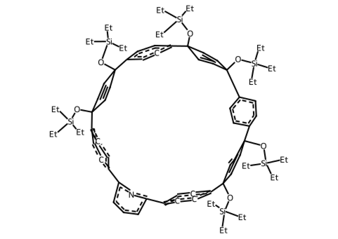 CC[Si](CC)(CC)OC12C=CC(O[Si](CC)(CC)CC)(C=C1)c1ccc(cc1)C1(O[Si](CC)(CC)CC)C=CC(O[Si](CC)(CC)CC)(C=C1)c1ccc(cc1)C1(O[Si](CC)(CC)CC)C=CC(O[Si](CC)(CC)CC)(C=C1)c1ccc(cc1)-c1cccc(n1)-c1ccc2cc1